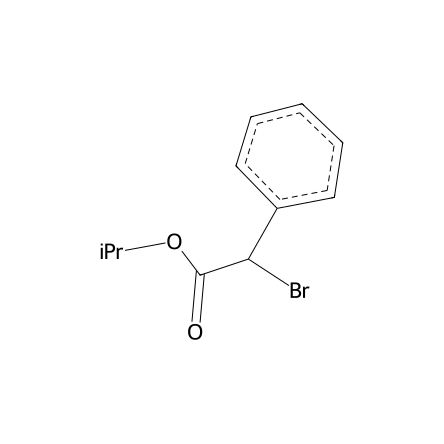 CC(C)OC(=O)C(Br)c1ccccc1